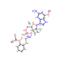 CCOc1nc(N)nc2c1ncn2[C@@H]1O[C@@H]2COP(=O)(N[C@@H](COC(=O)C(C)C)Cc3ccccc3)O[C@H]2[C@@]1(C)Cl